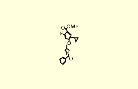 COC(=O)c1cc(C2CC2)c(OCC2CN(C(=O)c3ccccc3)C2)cc1F